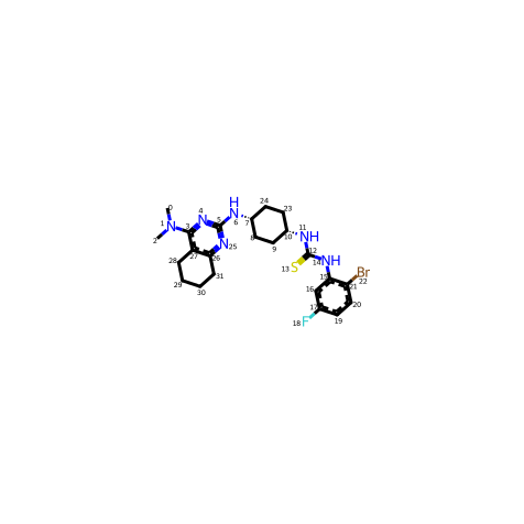 CN(C)c1nc(N[C@H]2CC[C@@H](NC(=S)Nc3cc(F)ccc3Br)CC2)nc2c1CCCC2